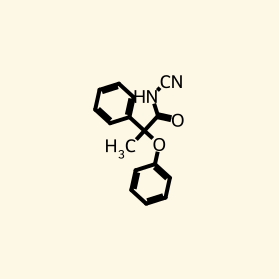 CC(Oc1ccccc1)(C(=O)NC#N)c1ccccc1